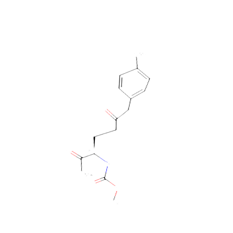 COC(=O)[C@@H](CCC(=O)Cc1ccc(OC)cc1)NC(=O)OC(C)(C)C